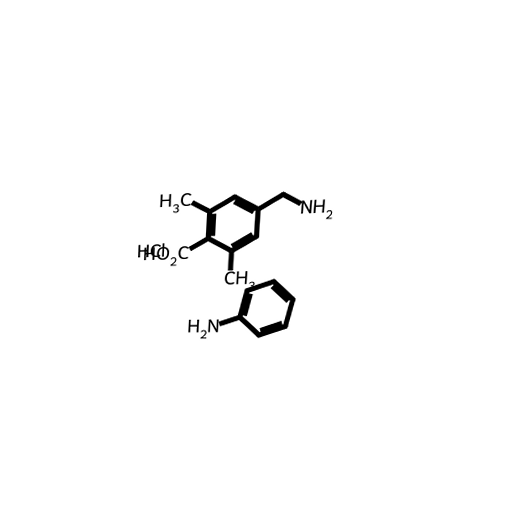 Cc1cc(CN)cc(C)c1C(=O)O.Cl.Nc1ccccc1